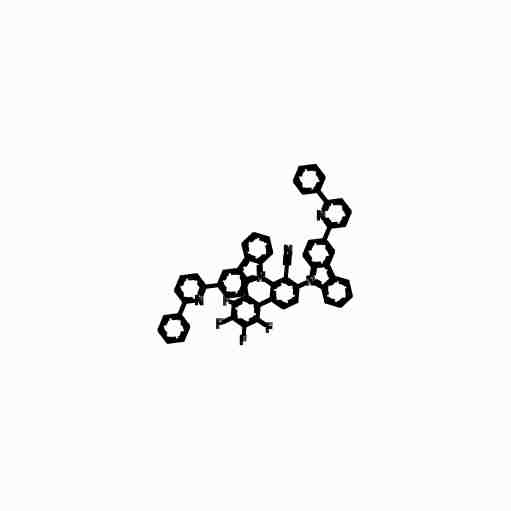 N#Cc1c(-n2c3ccccc3c3cc(-c4cccc(-c5ccccc5)n4)ccc32)ccc(-c2c(F)c(F)c(F)c(F)c2F)c1-n1c2ccccc2c2cc(-c3cccc(-c4ccccc4)n3)ccc21